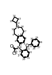 O=C(N(c1ccc2c(c1)CCN(C1CCC1)CC2)c1ccccc1Oc1ccccc1)C(F)(F)F